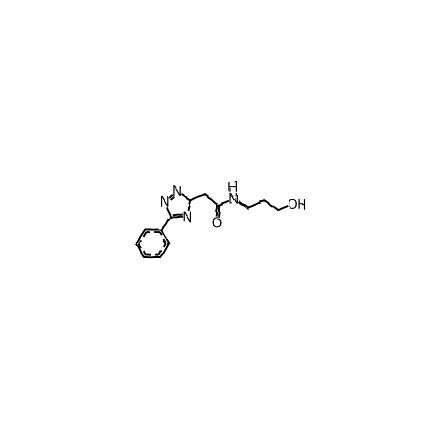 O=C(CC1N=NC(c2ccccc2)=N1)NCCCO